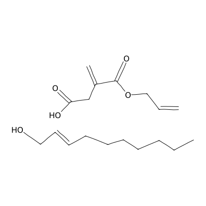 C=CCOC(=O)C(=C)CC(=O)O.CCCCCCCC=CCO